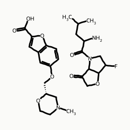 CC(C)CC(N)C(=O)N1CC(F)C2OCC(=O)C21.CN1CCO[C@H](COc2ccc3oc(C(=O)O)cc3c2)C1